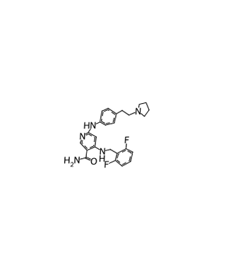 NC(=O)c1cnc(Nc2ccc(CCN3CCCC3)cc2)cc1NCc1c(F)cccc1F